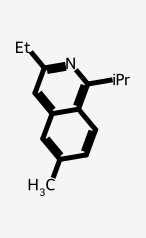 CCc1cc2cc(C)ccc2c(C(C)C)n1